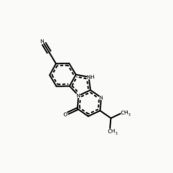 CC(C)c1cc(=O)n2c(n1)[nH]c1cc(C#N)ccc12